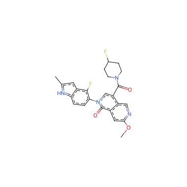 COc1cc2c(=O)n(-c3ccc4[nH]c(C)cc4c3F)cc(C(=O)N3CCC(F)CC3)c2cn1